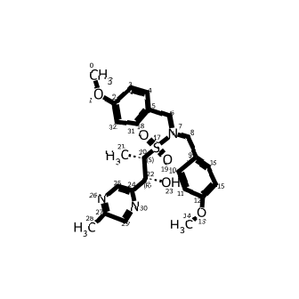 COc1ccc(CN(Cc2ccc(OC)cc2)S(=O)(=O)[C@@H](C)[C@H](O)c2cnc(C)cn2)cc1